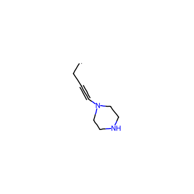 [CH2]CC#CN1CCNCC1